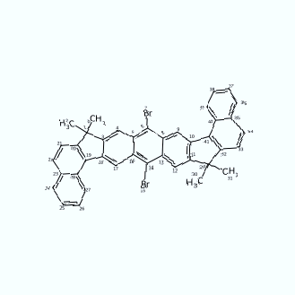 CC1(C)c2cc3c(Br)c4cc5c(cc4c(Br)c3cc2-c2c1ccc1ccccc21)C(C)(C)c1ccc2ccccc2c1-5